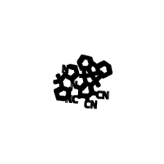 CC1(C)c2ccccc2N(c2c(C#N)c(C#N)c(C#N)c3c2C(C)(C)C2(c4ccccc4-c4ccccc42)C3(C)C)c2cccnc21